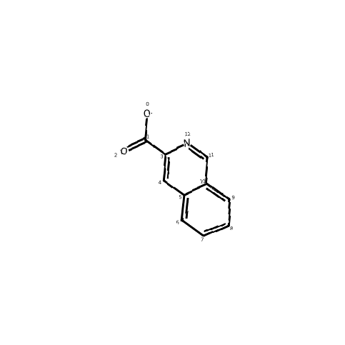 [O]C(=O)c1cc2ccccc2cn1